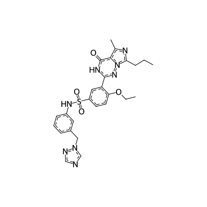 CCCc1nc(C)c2c(=O)[nH]c(-c3cc(S(=O)(=O)Nc4cccc(Cn5cncn5)c4)ccc3OCC)nn12